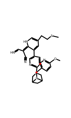 COc1ccc(CN2C3CC2CN(c2ccc(C4=CC(CCSC)=CN/C4=C(/C#N)C=N)cn2)C3)cn1